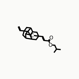 C=CC12CC3C4CC5(C=CC(=O)OCC(C)C)CC3C(C1)C(C5)C4C2